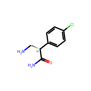 NC[C@@H](C(N)=O)c1ccc(Cl)cc1